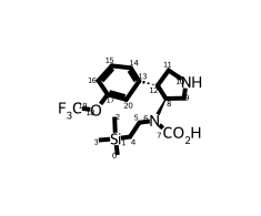 C[Si](C)(C)CCN(C(=O)O)[C@@H]1CNC[C@H]1c1cccc(OC(F)(F)F)c1